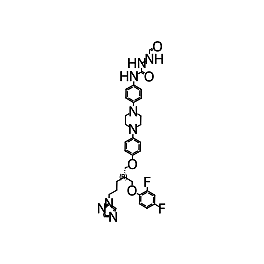 O=CNNC(=O)Nc1ccc(N2CCN(c3ccc(OC[C@@H](CCCn4cncn4)COc4ccc(F)cc4F)cc3)CC2)cc1